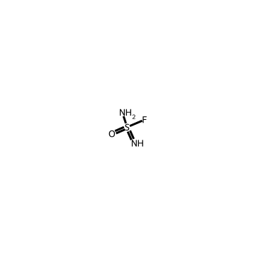 N=S(N)(=O)F